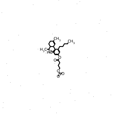 C=C(C)C1CCC(C)=CC1c1c(O)cc(OC(=O)CCCO[N+](=O)[O-])cc1CCCCC